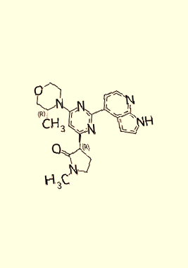 C[C@@H]1COCCN1c1cc([C@H]2CCN(C)C2=O)nc(-c2ccnc3[nH]ccc23)n1